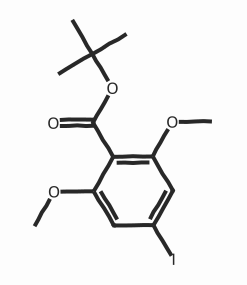 COc1cc(I)cc(OC)c1C(=O)OC(C)(C)C